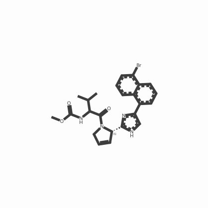 COC(=O)NC(C(=O)N1CC=C[C@H]1c1nc(-c2cccc3c(Br)cccc23)c[nH]1)C(C)C